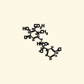 Cn1c(CNS(=O)(=O)c2cccc(Cl)c2)cc(=O)c(O)c1C(=O)O